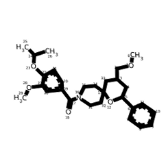 COCC1CC(c2ccccc2)OC2(CCN(C(=O)c3ccc(OC(C)C)c(OC)c3)CC2)C1